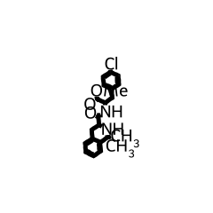 COC(=O)C(Cc1ccc(Cl)cc1)NC(=O)C1Cc2ccccc2C(C)(C)N1